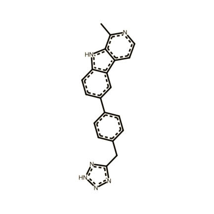 Cc1nccc2c1[nH]c1ccc(-c3ccc(Cc4nn[nH]n4)cc3)cc12